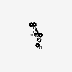 O=C(O)c1[nH]c2c(N3CCN(c4cccc(Cl)c4)CC3)cccc2c1CCCOc1cccc2ccccc12